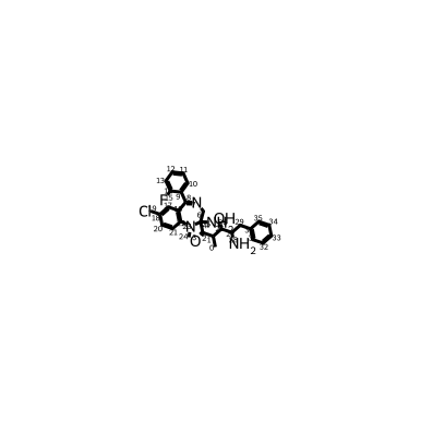 CC(C(=O)C1(N)CN=C(c2ccccc2F)c2cc(Cl)ccc2N1C)C(O)C(N)Cc1ccccc1